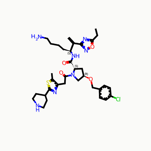 C=C(c1noc(CC)n1)[C@H](CCCCN)NC(=O)[C@@H]1C[C@@H](OCc2ccc(Cl)cc2)CN1C(=O)Cc1nc(C2CCNCC2)sc1C